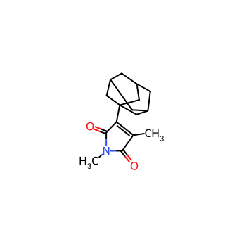 CC1=C(C23CC4CC(CC(C4)C2)C3)C(=O)N(C)C1=O